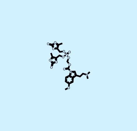 COc1ccc2c(c1)c(CCN(C)C)cn2C(=O)OCOP(=O)(OCc1oc(=O)oc1C)OCc1oc(=O)oc1C